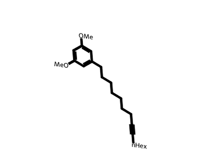 CCCCCCC#CCCCCCCCc1cc(OC)cc(OC)c1